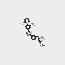 C[C@@H]1CCCCN1c1ccc(-c2nc(-c3cccc(CN(C)CC(=O)OC(C)(C)C)c3)no2)cc1C(F)(F)F